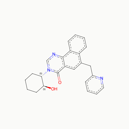 O=c1c2cc(Cc3ccccn3)c3ccccc3c2ncn1[C@H]1CCCC[C@@H]1O